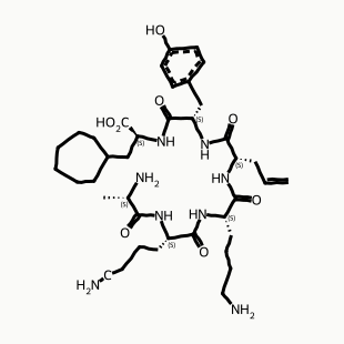 C=CC[C@H](NC(=O)[C@H](CCCCN)NC(=O)[C@H](CCCCN)NC(=O)[C@H](C)N)C(=O)N[C@@H](Cc1ccc(O)cc1)C(=O)N[C@@H](CC1CCCCCC1)C(=O)O